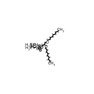 CCCCCCCCCOCC(COP(=O)(O)OCC[N+](C)(C)C)OCCCCCCCCC